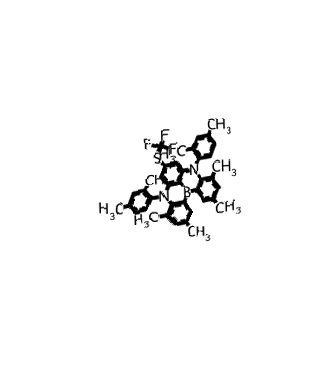 Cc1ccc(N2c3cc(SC(F)(F)F)cc4c3B(c3cc(C)cc(C)c32)c2cc(C)cc(C)c2N4c2ccc(C)cc2C)c(C)c1